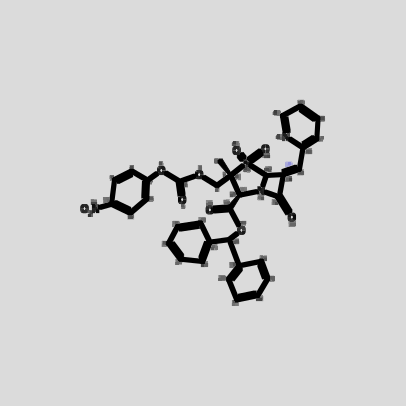 C[C@]1(COC(=O)Oc2ccc([N+](=O)[O-])cc2)[C@H](C(=O)OC(c2ccccc2)c2ccccc2)N2C(=O)/C(=C/c3ccccn3)C2S1(=O)=O